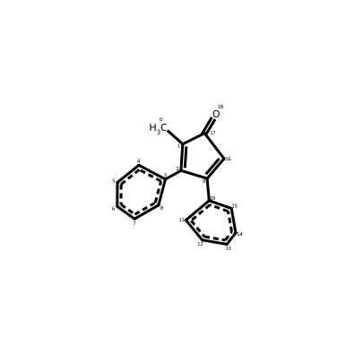 CC1=C(c2ccccc2)C(c2ccccc2)=CC1=O